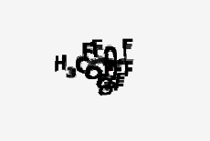 CC(F)(OC(F)(F)C(F)(F)S(=O)(=O)F)C(F)(F)OC(F)=C(F)F